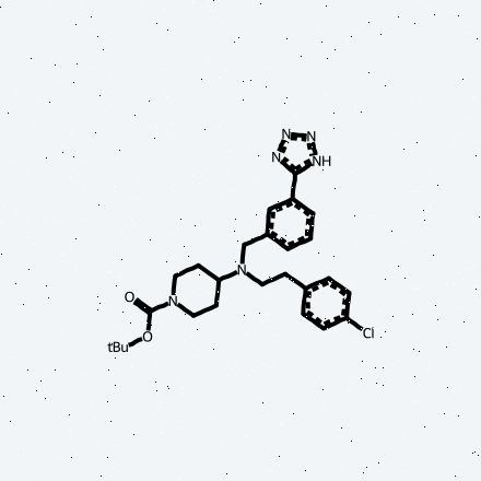 CC(C)(C)OC(=O)N1CCC(N(CCc2ccc(Cl)cc2)Cc2cccc(-c3nnn[nH]3)c2)CC1